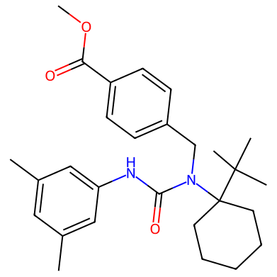 COC(=O)c1ccc(CN(C(=O)Nc2cc(C)cc(C)c2)C2(C(C)(C)C)CCCCC2)cc1